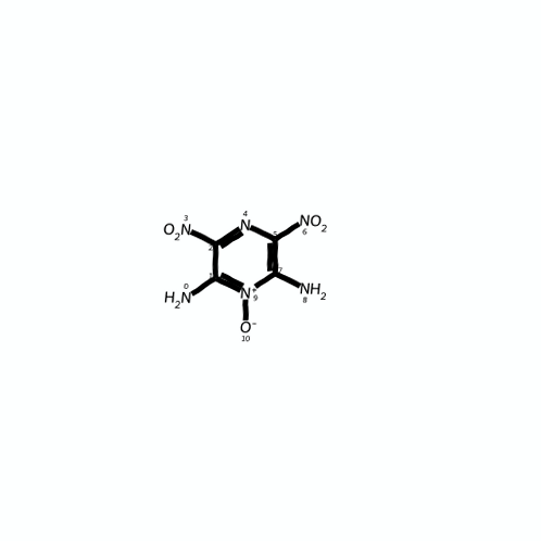 Nc1c([N+](=O)[O-])nc([N+](=O)[O-])c(N)[n+]1[O-]